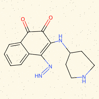 N=NC1=C(NC2CCNCC2)C(=O)C(=O)c2ccccc21